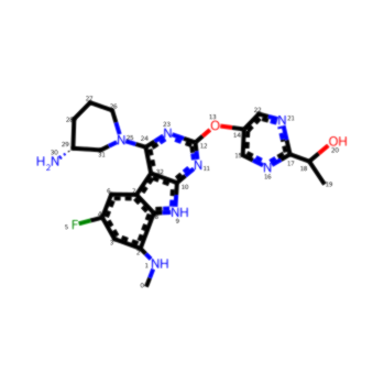 CNc1cc(F)cc2c1[nH]c1nc(Oc3cnc(C(C)O)nc3)nc(N3CCC[C@@H](N)C3)c12